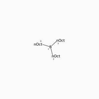 CCCCCCCCB(CCCCCCCC)CCCCCCCC